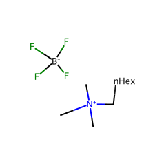 CCCCCCC[N+](C)(C)C.F[B-](F)(F)F